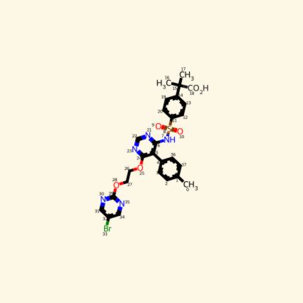 Cc1ccc(-c2c(NS(=O)(=O)c3ccc(C(C)(C)C(=O)O)cc3)ncnc2OCCOc2ncc(Br)cn2)cc1